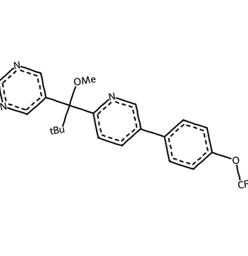 COC(c1cncnc1)(c1ccc(-c2ccc(OC(F)(F)F)cc2)cn1)C(C)(C)C